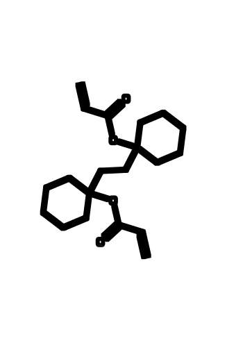 C=CC(=O)OC1(CCC2(OC(=O)C=C)CCCCC2)CCCCC1